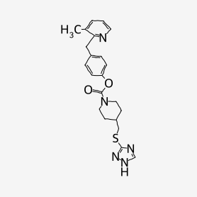 Cc1cccnc1Cc1ccc(OC(=O)N2CCC(CSc3nc[nH]n3)CC2)cc1